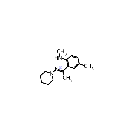 CNc1ccc(C)cc1/C(C)=N/N1CCCCC1